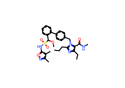 CCCc1nc(CC)c(C(=O)NC)n1Cc1ccc(-c2ccccc2C(OC)S(=O)(=O)Nc2onc(C)c2C)cc1